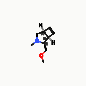 COC[C@@H]1[C@@H]2C=C[C@@H]2CN1C